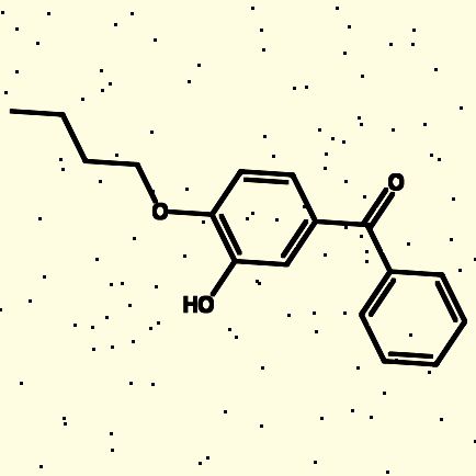 CCCCOc1ccc(C(=O)c2ccccc2)cc1O